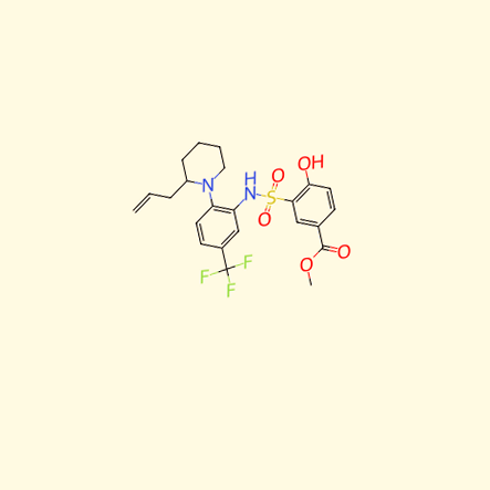 C=CCC1CCCCN1c1ccc(C(F)(F)F)cc1NS(=O)(=O)c1cc(C(=O)OC)ccc1O